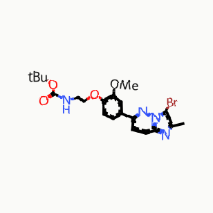 COc1cc(-c2ccc3nc(C)c(Br)n3n2)ccc1OCCNC(=O)OC(C)(C)C